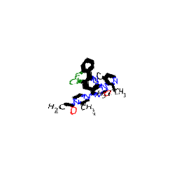 C=CC(=O)N1CCN(c2nc(=O)n(-c3c(C)ccnc3C(C)C)c3nc(-c4ccccc4F)c(Cl)cc23)C[C@H]1C